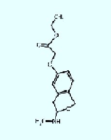 CCOC(=O)COc1ccc2c(c1)CC(NC)CC2